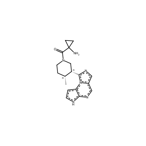 C[C@@H]1CCN(C(=O)C2(N)CC2)C[C@@H]1c1ncc2cnc3[nH]ccc3n12